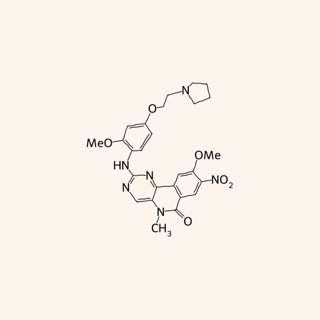 COc1cc(OCCN2CCCC2)ccc1Nc1ncc2c(n1)c1cc(OC)c([N+](=O)[O-])cc1c(=O)n2C